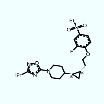 CCS(=O)(=O)c1ccc(OCC[C@@H]2C[C@H]2C2CCN(c3nc(C(C)C)no3)CC2)c(F)c1